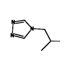 CC(C)Cn1cnnc1